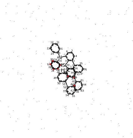 Cc1c(-c2cccc(N(c3ccccc3)c3ccccc3)c2[SiH](c2ccccc2)c2ccccc2)cccc1N(c1ccccc1)c1ccccc1-c1ccccc1